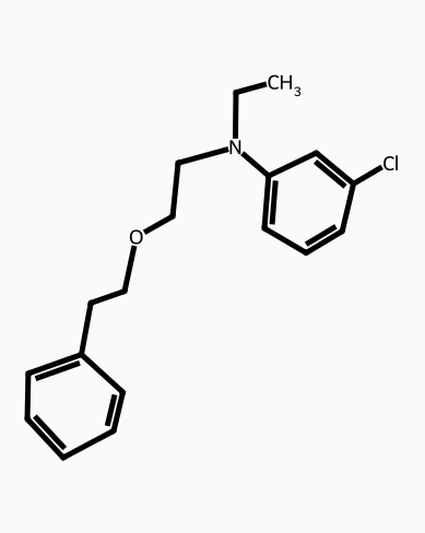 CCN(CCOCCc1ccccc1)c1cccc(Cl)c1